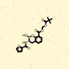 CC(C)(C)C(=O)OCOC(=O)c1cccc2c1OB(O)[C@@H](NC(=O)c1cccs1)C2